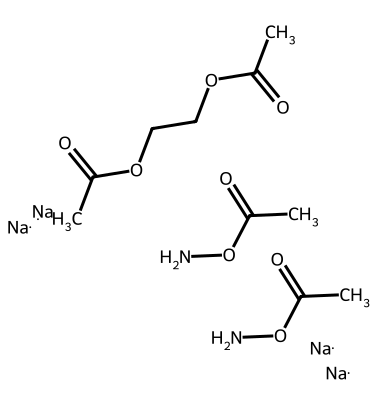 CC(=O)OCCOC(C)=O.CC(=O)ON.CC(=O)ON.[Na].[Na].[Na].[Na]